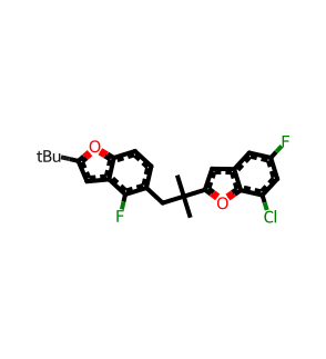 CC(C)(C)c1cc2c(F)c(CC(C)(C)c3cc4cc(F)cc(Cl)c4o3)ccc2o1